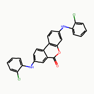 O=c1oc2cc(Nc3ccccc3Cl)ccc2c2ccc(Nc3ccccc3Cl)cc12